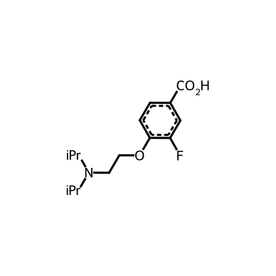 CC(C)N(CCOc1ccc(C(=O)O)cc1F)C(C)C